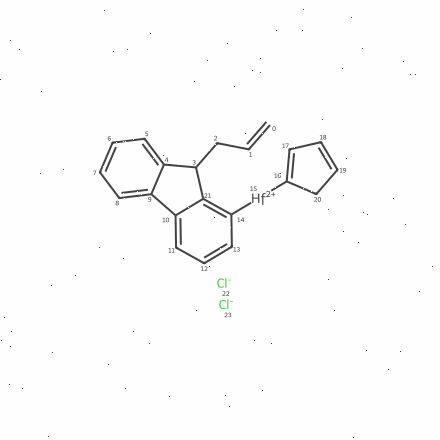 C=CCC1c2ccccc2-c2ccc[c]([Hf+2][C]3=CC=CC3)c21.[Cl-].[Cl-]